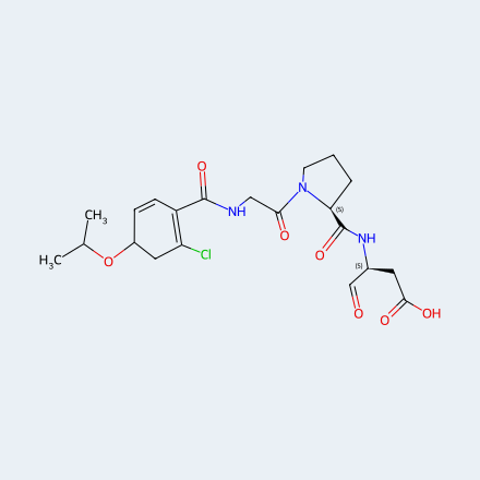 CC(C)OC1C=CC(C(=O)NCC(=O)N2CCC[C@H]2C(=O)N[C@H](C=O)CC(=O)O)=C(Cl)C1